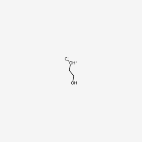 [CH2-][OH+]CCO